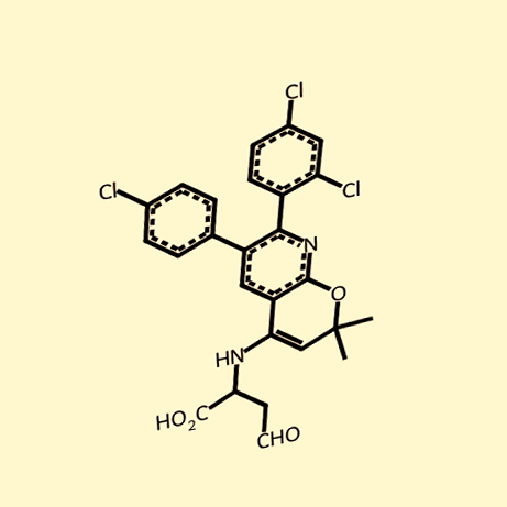 CC1(C)C=C(NC(CC=O)C(=O)O)c2cc(-c3ccc(Cl)cc3)c(-c3ccc(Cl)cc3Cl)nc2O1